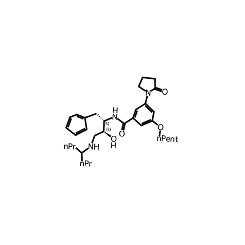 CCCCCOc1cc(C(=O)N[C@@H](Cc2ccccc2)[C@@H](O)CNC(CCC)CCC)cc(N2CCCC2=O)c1